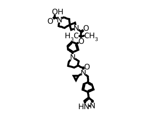 CC(C)(Oc1cccc(N2CCCC(C(=O)N(Cc3ccc(-c4cn[nH]c4)cc3)C3CC3)C2)c1)C(=O)N1CC2(CCN(C(=O)O)CC2)C1